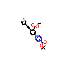 CCOC(=O)c1cc(N2CCN(C(=O)OC(C)(C)C)CC2)ccc1C#Cc1ccsc1